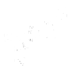 O=C(CC1CC(F)(F)C1)NC(c1cnn2cc([C@@H](NC(=O)c3ccn[nH]3)C3CCC(F)(F)CC3)nc2c1)C1CCC1